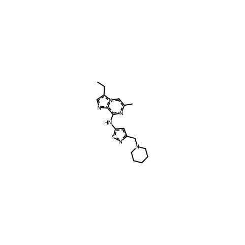 CCc1cnc2c(Nc3cc(CN4CCCCC4)ns3)nc(C)cn12